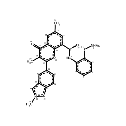 CC(=O)NSc1ccccc1N[C@H](C)c1cc(C)cc2c(=O)c(C)c(-c3ccc4nn(C)cc4c3)oc12